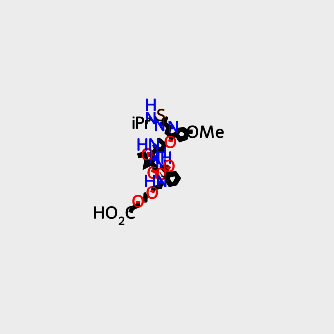 C=CC1CC1(NC(=O)C1CC(Oc2cc(-c3csc(NC(C)C)n3)nc3cc(OC)ccc23)CN1)C(=O)NS(=O)(=O)c1ccccc1NCCOCCOCCC(=O)O